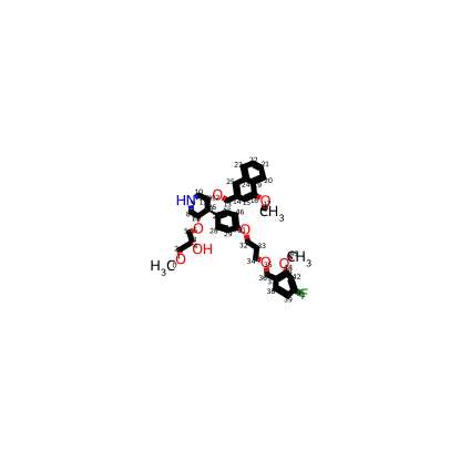 COCC(O)CO[C@@H]1CNC[C@H](OCc2cc(OC)c3ccccc3c2)[C@H]1c1ccc(OCCCOCc2ccc(F)cc2OC)cc1